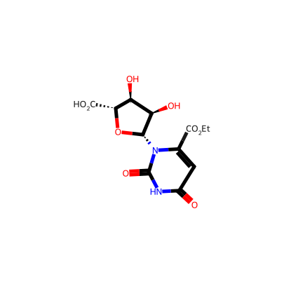 CCOC(=O)c1cc(=O)[nH]c(=O)n1[C@@H]1O[C@H](C(=O)O)[C@@H](O)[C@H]1O